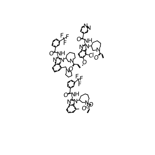 C=CC(=O)N1CCCCC(n2c(NC(=O)c3cccc(C(F)(F)F)c3)nc3cccc(CN4CCCC4)c32)C1.C=CC(=O)N1CCCCC(n2c(NC(=O)c3ccnnc3)nc3ccc(OC)c(Cl)c32)C1.C=CS(=O)(=O)N1CCCCC(n2c(NC(=O)c3cccc(C(F)(F)F)c3)nc3cccc(C)c32)C1